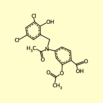 CC(=O)Oc1cc(N(Cc2cc(Cl)cc(Cl)c2O)C(C)=O)ccc1C(=O)O